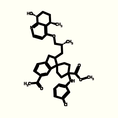 COC(=O)C1(Nc2cccc(Cl)c2)CCC2(CC1)c1cc(C(C)=O)ccc1CC2C[C@@H](C)COc1ccnc2c1[C@H](C)CC[C@H]2O